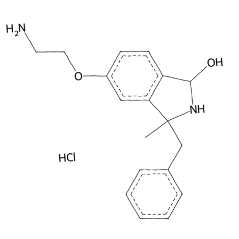 CC1(Cc2ccccc2)NC(O)c2ccc(OCCN)cc21.Cl